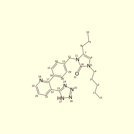 CCCCCn1cc(CCC)n(Cc2ccc(-c3ncccc3-c3nnn[nH]3)cc2)c1=O